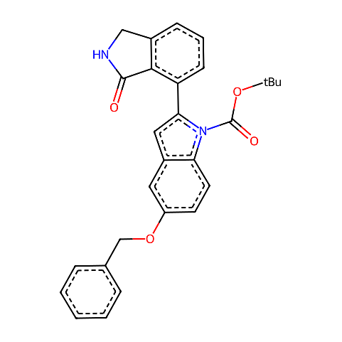 CC(C)(C)OC(=O)n1c(-c2cccc3c2C(=O)NC3)cc2cc(OCc3ccccc3)ccc21